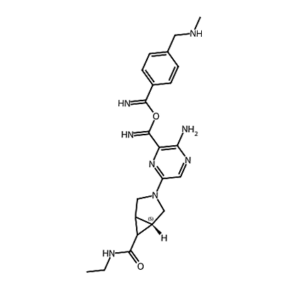 CCNC(=O)C1C2CN(c3cnc(N)c(C(=N)OC(=N)c4ccc(CNC)cc4)n3)C[C@@H]21